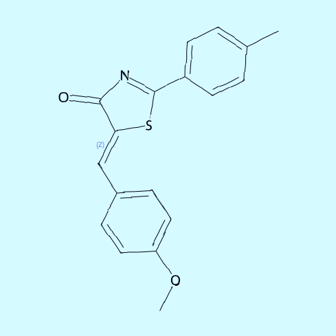 COc1ccc(/C=C2\SC(c3ccc(C)cc3)=NC2=O)cc1